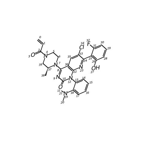 C=CC(=O)N1CCN(c2nc(=O)n(-c3ccccc3N(C)C)c3nc(-c4c(O)cccc4F)c(Cl)cc23)[C@@H](C)C1